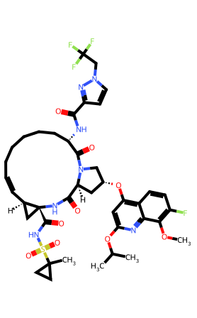 COc1c(F)ccc2c(O[C@@H]3C[C@H]4C(=O)N[C@]5(C(=O)NS(=O)(=O)C6(C)CC6)C[C@H]5C=CCCCCC[C@H](NC(=O)c5ccn(CC(F)(F)F)n5)C(=O)N4C3)cc(OC(C)C)nc12